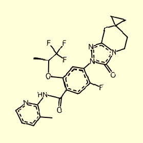 Cc1cccnc1NC(=O)c1cc(F)c(-n2nc3n(c2=O)CCC2(CC2)C3)cc1O[C@@H](C)C(F)(F)F